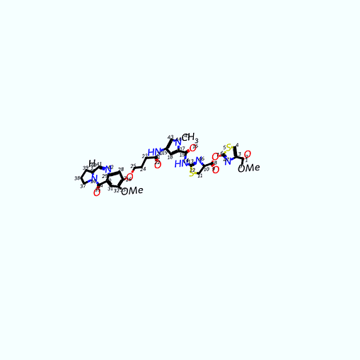 COC(=O)c1csc(OC(=O)C2CSC(NC(=O)c3cc(NC(=O)CCCOc4cc5c(cc4OC)C(=O)N4CCC[C@H]4C=N5)cn3C)=N2)n1